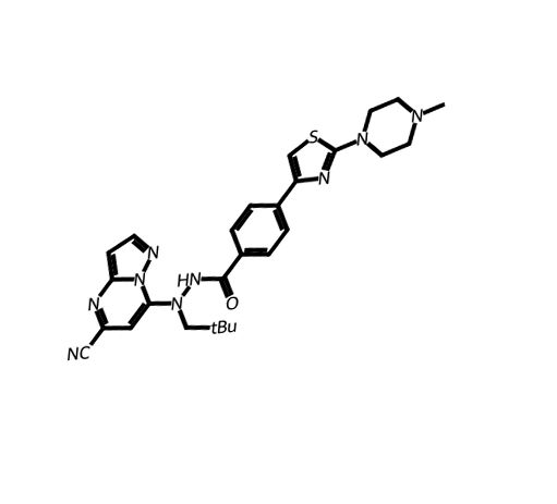 CN1CCN(c2nc(-c3ccc(C(=O)NN(CC(C)(C)C)c4cc(C#N)nc5ccnn45)cc3)cs2)CC1